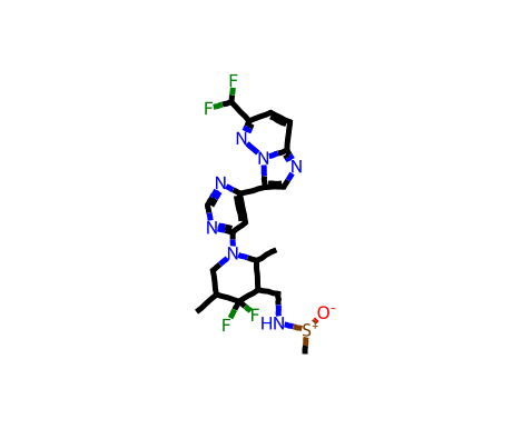 CC1C(CN[S+](C)[O-])C(F)(F)C(C)CN1c1cc(-c2cnc3ccc(C(F)F)nn23)ncn1